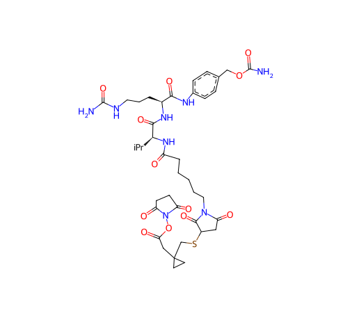 CC(C)[C@H](NC(=O)CCCCCN1C(=O)CC(SCC2(CC(=O)ON3C(=O)CCC3=O)CC2)C1=O)C(=O)N[C@@H](CCCNC(N)=O)C(=O)Nc1ccc(COC(N)=O)cc1